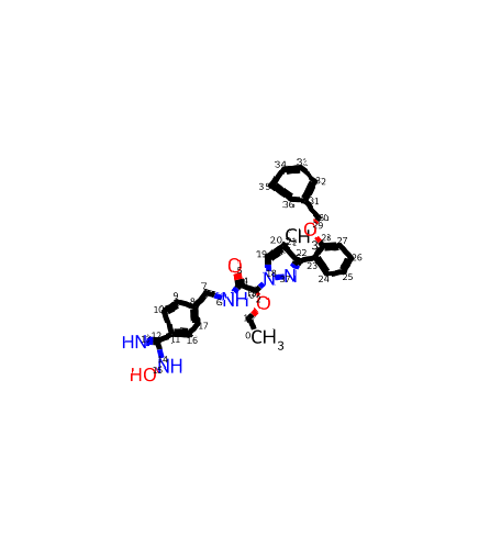 CCO[C@@H](C(=O)NCc1ccc(C(=N)NO)cc1)n1cc(C)c(-c2ccccc2OCc2ccccc2)n1